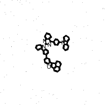 C1=c2c(n(-c3ccc(-c4nc(-n5c6ccccc6c6cc(-c7ccc8oc9c(c8c7)-c7cccc8cccc-9c78)ccc65)nc5ccccc45)cc3)c3ccccc23)=CCC1